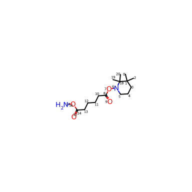 CC1(C)CCCN(OC(=O)CCCCC(=O)ON)C1(C)C